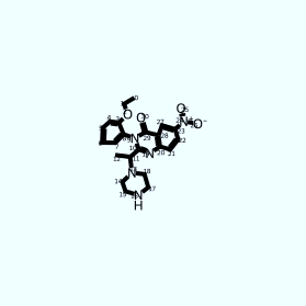 CCOc1ccccc1-n1c(C(C)N2CCNCC2)nc2ccc([N+](=O)[O-])cc2c1=O